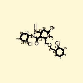 Cn1c(COCc2ccccc2Cl)c2c(=O)n(-c3ccccc3Cl)[nH]c2cc1=O